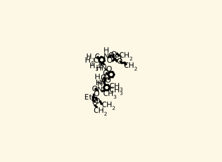 C=CCOCC(CC)(COCC=C)COC(=O)NCC1(C)CC(NC(=O)OC2CCCCC2(C)OC(=O)NCC2(C)CC(NC(=O)OCC(CC)(COCC=C)COCC=C)CC(C)(C)C2)CC(C)(C)C1